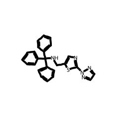 c1ccc(C(NCc2cnc(-n3nccn3)s2)(c2ccccc2)c2ccccc2)cc1